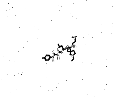 CCN1CCC(CNc2cc(C)nc(NC(=S)Nc3ccc(C)cc3)n2)(C(=O)NCCN(C)C)C1